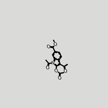 COC(=O)c1ccc2c(C(C)=O)c(OC(C)=O)n(C(C)=O)c2c1